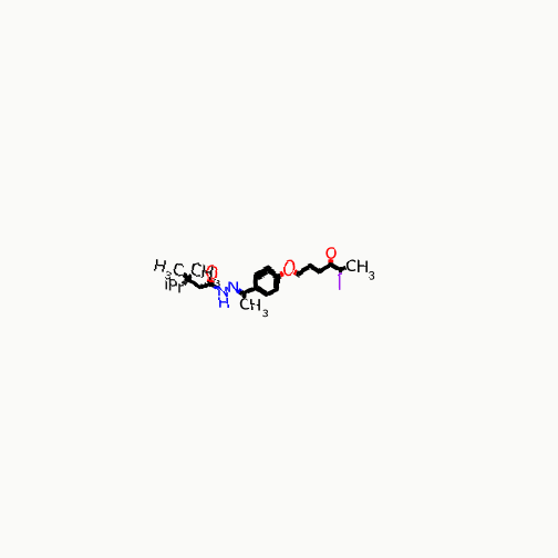 C/C(=N\NC(=O)CC(C)(C)C(C)C)c1ccc(OCCCC(=O)C(C)I)cc1